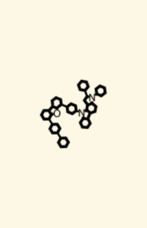 c1ccc(-c2ccc(-c3cccc4c3oc3c(-c5ccc(-n6c7ccccc7c7ccc8c(cc(-c9ccccc9)n8-c8ccccc8)c76)cc5)cccc34)cc2)cc1